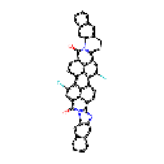 O=c1c2ccc3c4c(F)cc5c(=O)n6c7cc8ccccc8cc7nc6c6ccc(c7c(F)cc(c8n1-c1cc9ccccc9cc1CC=8)c2c37)c4c56